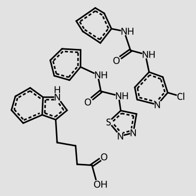 O=C(Nc1ccccc1)Nc1ccnc(Cl)c1.O=C(Nc1ccccc1)Nc1cnns1.O=C(O)CCCc1c[nH]c2ccccc12